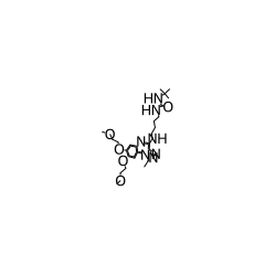 COCCOc1cc2nc(NCCCCNC(=O)NC(C)(C)C)c3nnc(C)n3c2cc1OCCOC